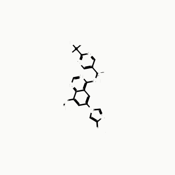 COc1cc(-n2cnc(C)c2)cc2c(N[C@H](C)c3cnc(C(F)(F)F)nc3)ncnc12